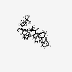 CN1CC[C@@H](Nc2cncc3c(CC(F)(F)F)c(-c4nnc(CNC(=O)c5cnn(C(C)(C)C)c5)s4)nn23)[C@@H](F)C1